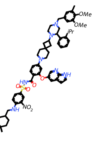 COc1cc(CN2CCN(C3CC4(CCN(c5ccc(C(=O)NS(=O)(=O)c6ccc(NCC7CCC(C)(O)CC7)c([N+](=O)[O-])c6)c(Oc6cnc7[nH]ccc7c6)c5)CC4)C3)C(c3ccccc3C(C)C)C2)cc(C)c1OC